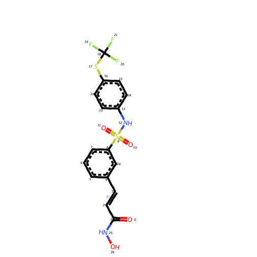 O=C(/C=C/c1cccc(S(=O)(=O)Nc2ccc(SC(F)(F)F)cc2)c1)NO